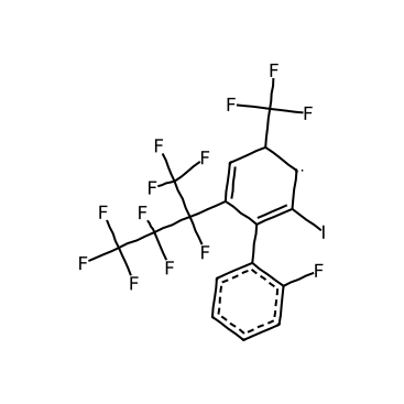 Fc1ccccc1C1=C(I)[CH]C(C(F)(F)F)C=C1C(F)(C(F)(F)F)C(F)(F)C(F)(F)F